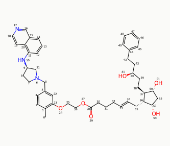 Cc1ccc(CN2CC[C@@H](Nc3cccc4cnccc34)C2)cc1OCCOC(=O)CCC/C=C/C[C@@H]1[C@@H](CC[C@@H](O)CCc2ccccc2)[C@H](O)C[C@@H]1O